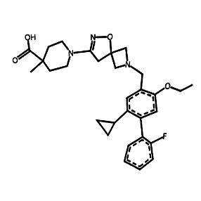 CCOc1cc(-c2ccccc2F)c(C2CC2)cc1CN1CC2(CC(N3CCC(C)(C(=O)O)CC3)=NO2)C1